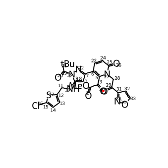 COC(=O)C(=O)c1c(-c2cc(NCc3ccc(Cl)s3)n(C(=O)C(C)(C)C)n2)ccc(=O)n1CC(=O)c1ccon1